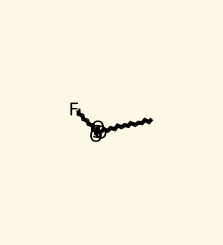 CCCCCCCCCCCCCCCOS(=O)(=O)CCCCCCCCF